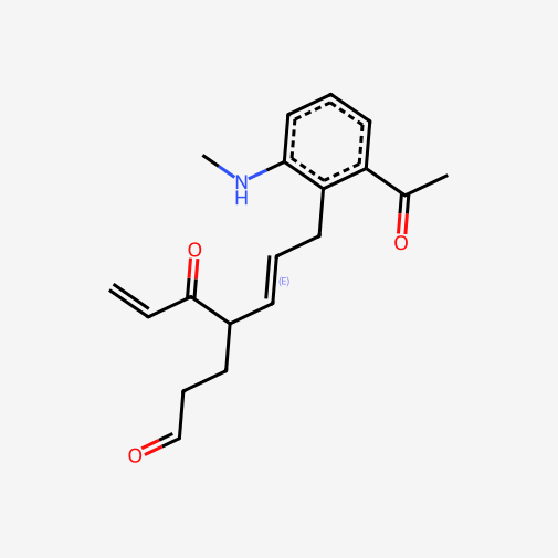 C=CC(=O)C(/C=C/Cc1c(NC)cccc1C(C)=O)CCC=O